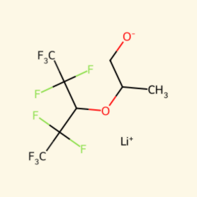 CC(C[O-])OC(C(F)(F)C(F)(F)F)C(F)(F)C(F)(F)F.[Li+]